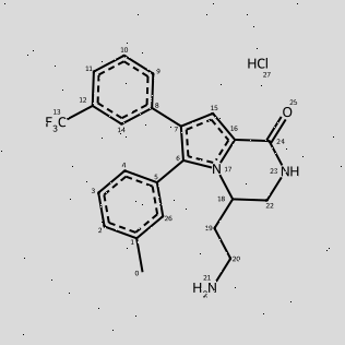 Cc1cccc(-c2c(-c3cccc(C(F)(F)F)c3)cc3n2C(CCN)CNC3=O)c1.Cl